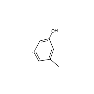 Cc1c[c]cc(O)c1